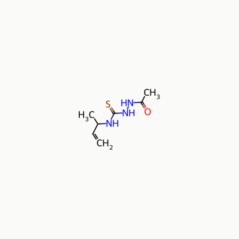 C=CC(C)NC(=S)NNC(C)=O